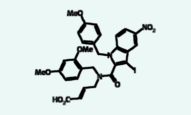 COc1ccc(Cn2c(C(=O)N(CC=CC(=O)O)Cc3ccc(OC)cc3OC)c(I)c3cc([N+](=O)[O-])ccc32)cc1